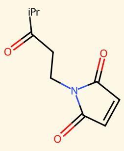 CC(C)C(=O)CCN1C(=O)C=CC1=O